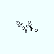 O=C(Nc1ccc(O)c(-c2cc(C3CCCC3)n(C(=O)NCCc3ccccc3)n2)c1)c1ccncc1